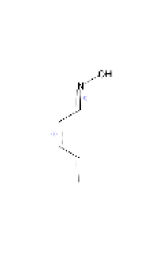 C=C/C=C\C=N\O